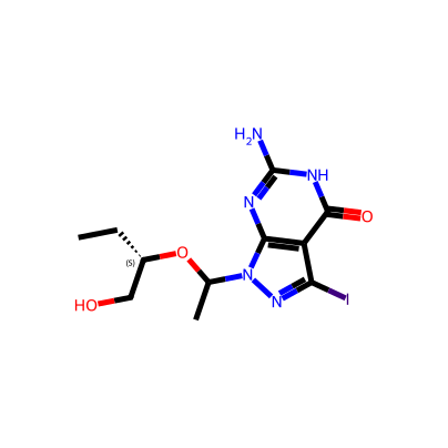 CC[C@@H](CO)OC(C)n1nc(I)c2c(=O)[nH]c(N)nc21